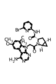 COc1cc(C)c2c(c1)c1c(N)ncnc1n2CC(=O)N1[C@@H]2C[C@@H]2C[C@H]1C(=O)Nc1cccc(Br)n1